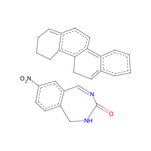 C1=c2ccc3c(c2CCC1)CC=c1ccccc1=3.O=C1N=Cc2cc([N+](=O)[O-])ccc2CN1